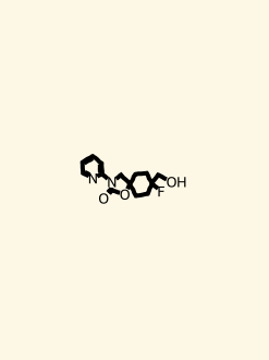 O=C1OC2(CCC(F)(CO)CC2)CN1c1ccccn1